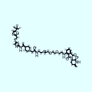 C=C1CCC(N2C(=O)c3cccc(NCCOCCOCCOCCNC(=O)CN4CCC(C(=C)Nc5ncc(SCc6ncc(C(C)(C)C)o6)s5)CC4)c3C2=O)C(=O)N1